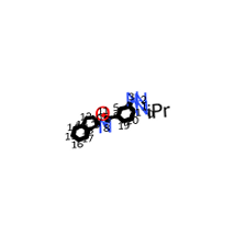 CC(C)n1nnc2cc(-c3nc4c(o3)Cc3ccccc3-4)ccc21